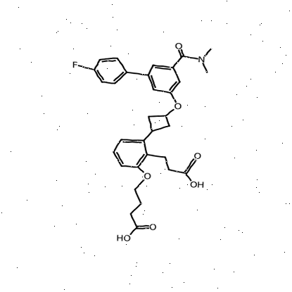 CN(C)C(=O)c1cc(OC2CC(c3cccc(OCCCC(=O)O)c3CCC(=O)O)C2)cc(-c2ccc(F)cc2)c1